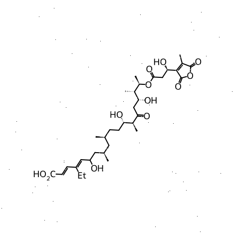 CCC(/C=C/C(=O)O)=C\C(O)C[C@H](C)C[C@@H](C)CC[C@H](O)[C@H](C)C(=O)C[C@@H](O)[C@H](C)[C@@H](C)OC(=O)C[C@@H](O)C1=C(C)C(=O)OC1=O